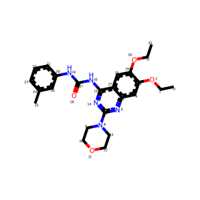 CCOc1cc2nc(N3CCOCC3)nc(NC(=O)Nc3cccc(C)c3)c2cc1OCC